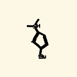 C[SiH](C)C1=[C]C(C(C)(C)C)C=C1